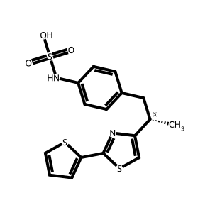 C[C@@H](Cc1ccc(NS(=O)(=O)O)cc1)c1csc(-c2cccs2)n1